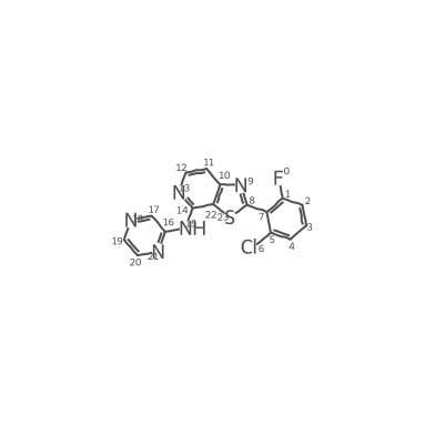 Fc1cccc(Cl)c1-c1nc2ccnc(Nc3cnccn3)c2s1